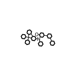 c1ccc(-c2cccc(-c3ccc4c(c3)N(c3ccccc3)c3ccc5c(c3O4)-c3ccccc3C5(c3ccccc3)c3ccccc3)c2)cc1